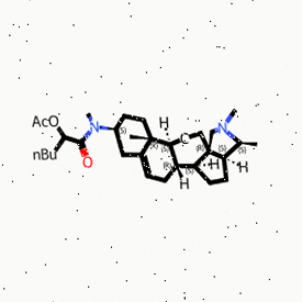 CCCCC(OC(C)=O)C(=O)N(C)[C@H]1CC[C@@]2(C)C(=CC[C@H]3[C@@H]4CC[C@@H]5[C@H](C)N(C)C[C@@]54CC[C@@H]32)C1